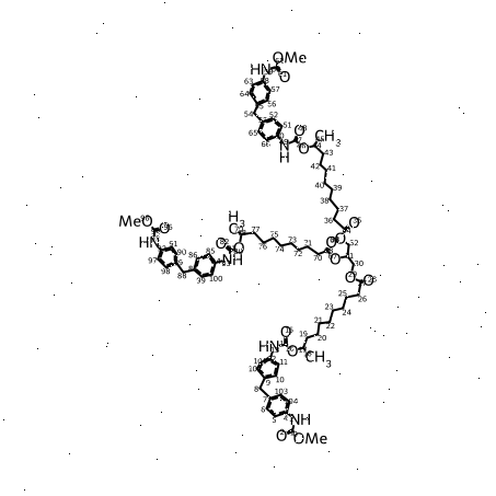 COC(=O)Nc1ccc(Cc2ccc(NC(=O)OC(C)CCCCCCCCC(=O)OCC(COC(=O)CCCCCCCCC(C)OC(=O)Nc3ccc(Cc4ccc(NC(=O)OC)cc4)cc3)OC(=O)CCCCCCCCC(C)OC(=O)Nc3ccc(Cc4ccc(NC(=O)OC)cc4)cc3)cc2)cc1